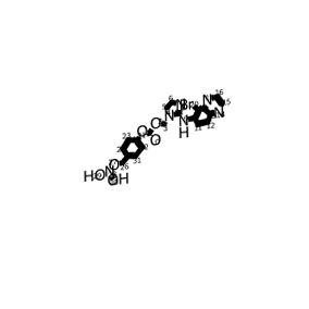 O=C(OCN1CCN=C1Nc1ccc2nccnc2c1Br)Oc1ccc(CON(O)O)cc1